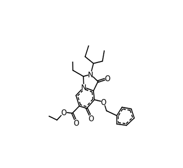 CCOC(=O)c1cn2c(c(OCc3ccccc3)c1=O)C(=O)N(C(CC)CC)C2CC